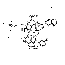 COC(=O)CC(NC(=O)[C@H](C)NC(=O)[C@H](CCC(=O)O)NC(=O)[C@H](CC(=O)OC)NC(=O)[C@H](CC(C)C)NC(=O)c1ccc2ccccc2n1)C(=O)COc1c(F)c(F)cc(F)c1F